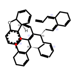 C=C/C=C1/CCC=C/C1=C/C[C@H](C/C=C\C)/C(C=C)=C(/C=C\C)[C@@H](C1=C(c2ccc3c(c2)[C@@H]2C=CC=CC2O3)CCC=C1)C(C)C=C